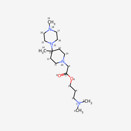 CN(C)CCCOC(=O)CN1CCC(C)(N2CCN(C)CC2)CC1